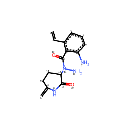 C=Cc1cccc(N)c1C(=O)N(N)C1CCC(=C)NC1=O